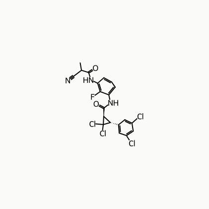 CC(C#N)C(=O)Nc1cccc(NC(=O)[C@H]2[C@H](c3cc(Cl)cc(Cl)c3)C2(Cl)Cl)c1F